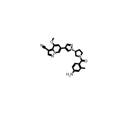 COc1cc(-c2cnn([C@H]3CCN(C(=O)c4ccc(N)cc4C)C3)c2)cn2ncc(C#N)c12